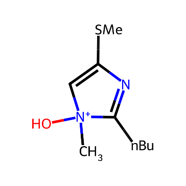 CCCCC1=NC(SC)=C[N+]1(C)O